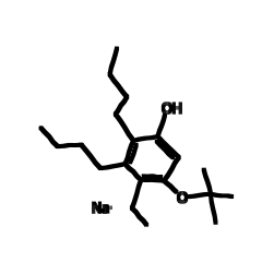 CCCCc1c(O)cc(OC(C)(C)C)c(CC)c1CCCC.[Na]